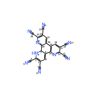 N#CC1=C(C#N)NC2C(=C1)c1nc(C#N)c(C#N)cc1-c1cc(C#N)c(C#N)nc12